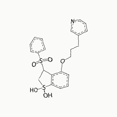 O=S(=O)(c1ccccc1)C1CS(O)(O)c2cccc(OCCCc3cccnc3)c21